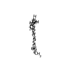 CCOC(=O)COCCOCCOCCOc1cccc(N2C[C@H]3C[C@@H]2CN3)n1